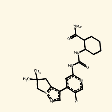 CNC(=O)C1CCCCC1NC(=O)Nc1cc(-c2cnn3c2CC(C)(C)C3)c(Cl)cn1